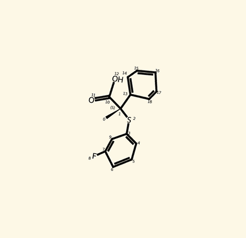 C[C@@](Sc1cccc(F)c1)(C(=O)O)c1ccccc1